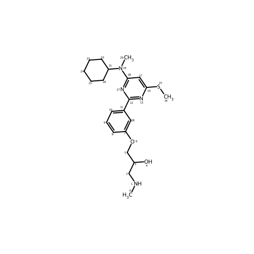 CNCC(O)COc1cccc(-c2nc(SC)cc(N(C)C3CCCCC3)n2)c1